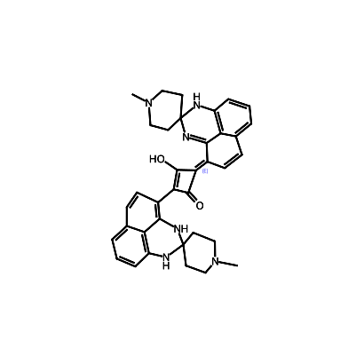 CN1CCC2(CC1)N=c1/c(=C3/C(=O)C(c4ccc5cccc6c5c4NC4(CCN(C)CC4)N6)=C3O)ccc3cccc(c13)N2